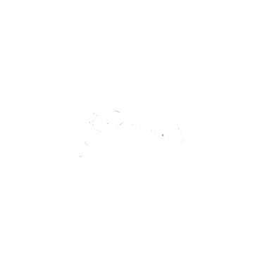 C[C@@H]1CN(c2ccc3nnn([C@H](C)c4ccc(Cl)cc4Cl)c3c2)CCN1C(=O)[C@H]1CCCN1C(=O)OC(C)(C)C